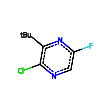 CC(C)(C)c1nc(F)cnc1Cl